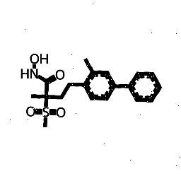 Cc1cc(-c2ccccc2)ccc1CCC(C)(C(=O)NO)S(C)(=O)=O